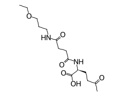 CCOCCCNC(=O)CCC(=O)N[C@@H](CCC(C)=O)C(=O)O